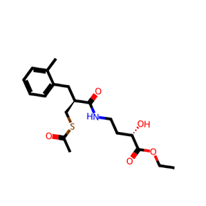 CCOC(=O)[C@@H](O)CCNC(=O)[C@@H](CSC(C)=O)Cc1ccccc1C